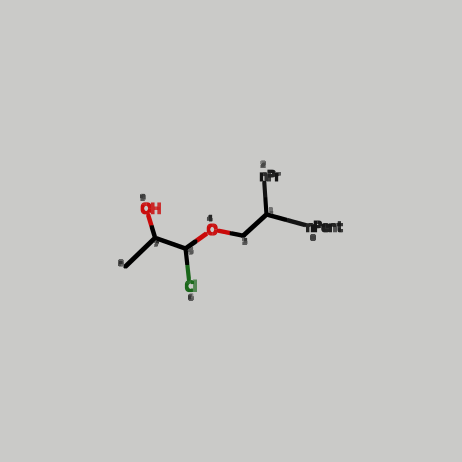 CCCCCC(CCC)COC(Cl)C(C)O